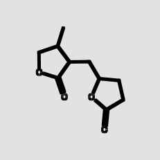 CC1COC(=O)C1CC1CCC(=O)O1